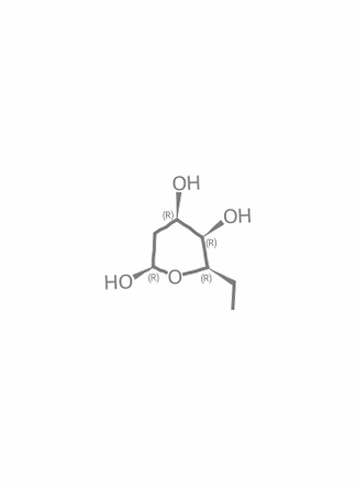 CC[C@H]1O[C@@H](O)C[C@@H](O)[C@H]1O